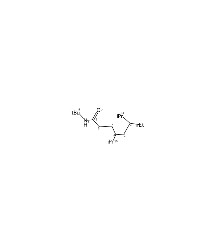 CCC(CC(CCC(=O)NC(C)(C)C)C(C)C)C(C)C